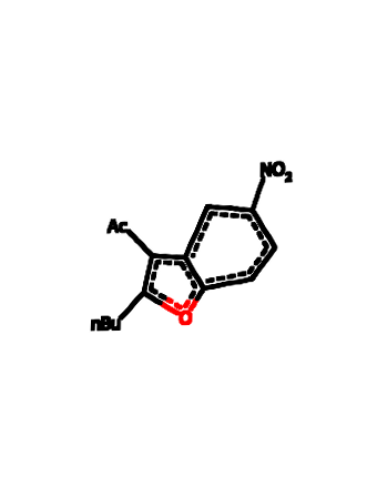 CCCCc1oc2ccc([N+](=O)[O-])cc2c1C(C)=O